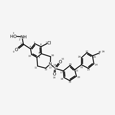 O=C(NO)c1cc(Cl)c2c(c1)CCN(S(=O)(=O)c1cccc(-c3ccc(F)cc3)c1)C2